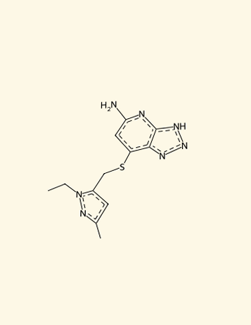 CCn1nc(C)cc1CSc1cc(N)nc2[nH]nnc12